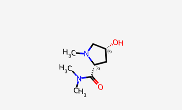 CN(C)C(=O)[C@H]1C[C@@H](O)CN1C